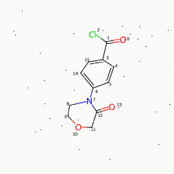 O=C(Cl)c1ccc(N2CCOCC2=O)cc1